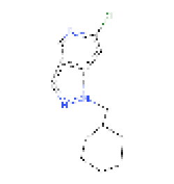 Clc1cc2c(cn1)cnn2CC1CCCCC1